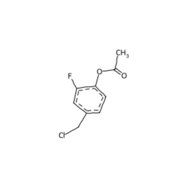 CC(=O)Oc1ccc(CCl)cc1F